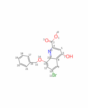 COC(=O)c1cc(O)c2cc(Br)cc(OCc3ccccc3)c2n1